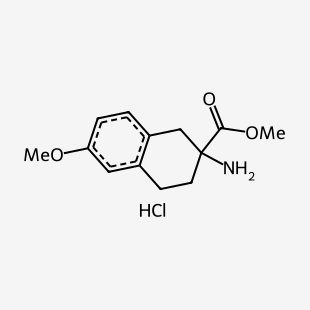 COC(=O)C1(N)CCc2cc(OC)ccc2C1.Cl